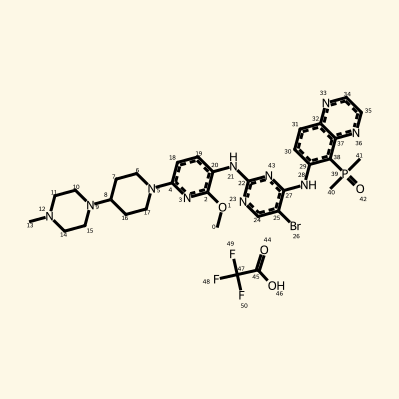 COc1nc(N2CCC(N3CCN(C)CC3)CC2)ccc1Nc1ncc(Br)c(Nc2ccc3nccnc3c2P(C)(C)=O)n1.O=C(O)C(F)(F)F